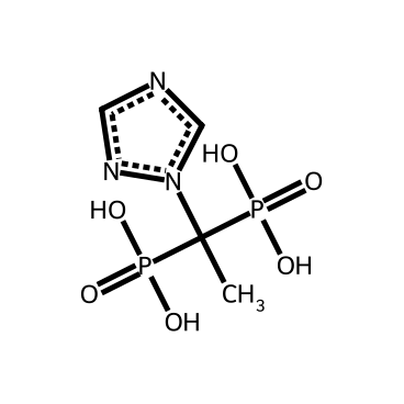 CC(n1cncn1)(P(=O)(O)O)P(=O)(O)O